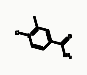 Cc1cc(C(N)=O)cc[n+]1Cl